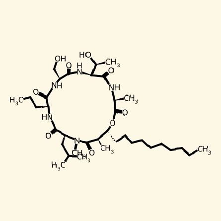 CCCCCCCCCC[C@H]1OC(=O)[C@H](C)NC(=O)[C@H]([C@H](C)O)NC(=O)[C@H](CO)NC(=O)[C@H](CCC)NC(=O)[C@H](CC(C)C)N(C)C(=O)[C@@H]1C